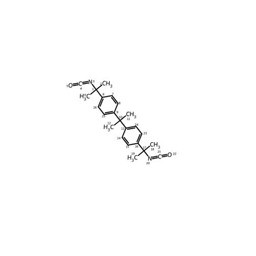 CC(C)(N=C=O)c1ccc(C(C)(C)c2ccc(C(C)(C)N=C=O)cc2)cc1